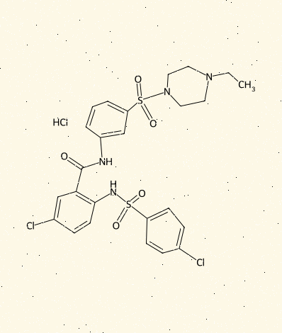 CCN1CCN(S(=O)(=O)c2cccc(NC(=O)c3cc(Cl)ccc3NS(=O)(=O)c3ccc(Cl)cc3)c2)CC1.Cl